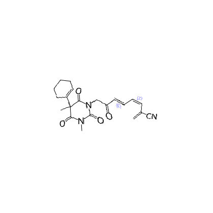 C=C(C#N)/C=C\C=C\C(=O)CN1C(=O)N(C)C(=O)C(C)(C2=CCCCC2)C1=O